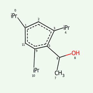 CC(C)c1cc(C(C)C)c(C(C)O)c(C(C)C)c1